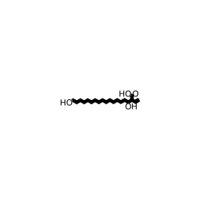 C=CC(C(=O)O)C(O)CCCCCCCCCCCCCCCO